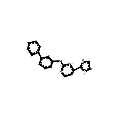 c1ccc(-c2cccc(Nc3nccc(-c4nccs4)n3)c2)cc1